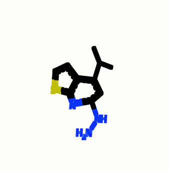 CC(C)c1cc(NN)nc2sccc12